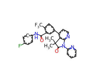 CC1(C)C(=O)N(c2ccccn2)c2nccc(-c3ccc(C(F)(F)F)c(C(=O)Nc4ccc(F)cc4)c3)c21